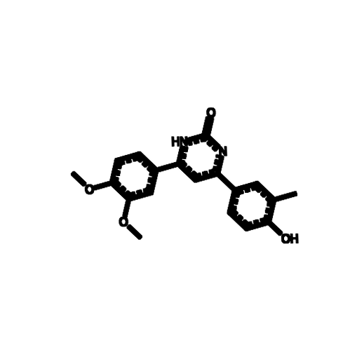 COc1ccc(-c2cc(-c3ccc(O)c(C)c3)nc(=O)[nH]2)cc1OC